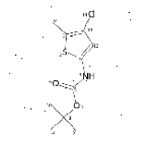 Cc1sc(NC(=O)OC(C)(C)C)cc1Cl